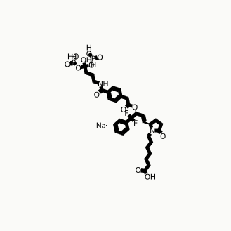 O=C(O)CCCCCCN1C(=O)CC[C@@H]1/C=C/[C@@H](OC(=O)Cc1ccc(C(=O)NCCCC(O)(O[PH](=O)O)O[PH](=O)O)cc1)C(F)(F)c1ccccc1.[Na]